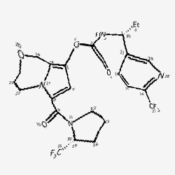 CC[C@@H](NC(=O)Oc1cc(C(=O)N2CCC[C@@H]2C(F)(F)F)n2c1COCC2)c1ccc(C(F)(F)F)nc1